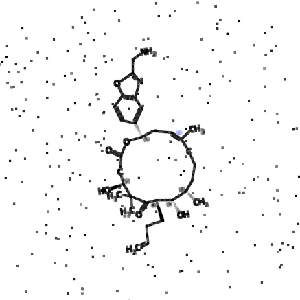 C=CCC[C@H]1C(=O)C(C)(C)[C@@H](O)CC(=O)O[C@H](c2ccc3oc(CN)nc3c2)C/C=C(/C)CCC[C@H](C)[C@@H]1O